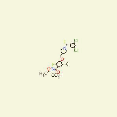 C[C@H]1OCN(C(=O)c2cc(C3CC3)c(OCC3CCN(C(F)c4cc(Cl)cc(Cl)c4)CC3)cc2F)[C@@H]1C(=O)O